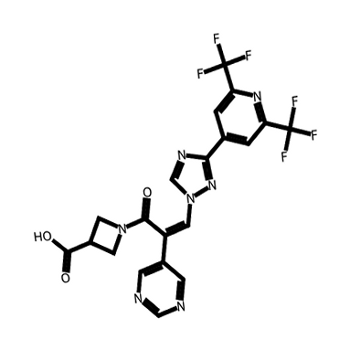 O=C(O)C1CN(C(=O)C(=Cn2cnc(-c3cc(C(F)(F)F)nc(C(F)(F)F)c3)n2)c2cncnc2)C1